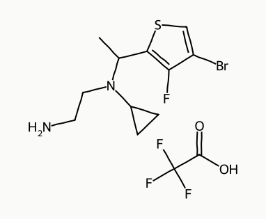 CC(c1scc(Br)c1F)N(CCN)C1CC1.O=C(O)C(F)(F)F